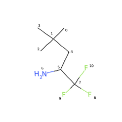 CC(C)(C)CC(N)C(F)(F)F